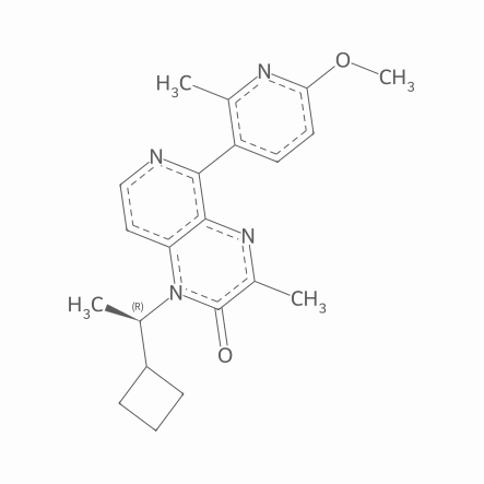 COc1ccc(-c2nccc3c2nc(C)c(=O)n3[C@H](C)C2CCC2)c(C)n1